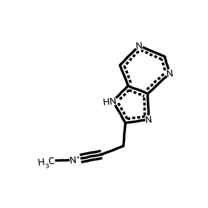 C[N+]#CCc1nc2ncncc2[nH]1